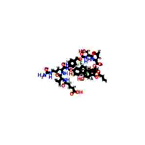 CCCC1O[C@@H]2C[C@H]3[C@@H]4C[C@H](F)C5=CC(O)C=C[C@]5(C)[C@@]4(F)[C@@H](O)C[C@]3(C)[C@]2(C(=O)COC(=O)[C@H](CC(C)C)NC(=O)[C@H](CO)NC(=O)OCc2ccc(NC(=O)[C@H](CCCNC(N)=O)NC(=O)[C@@H](NC(=O)CCCC(=O)O)C(C)C)cc2)O1